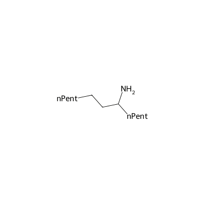 CCCCCCCC(N)CCCCC